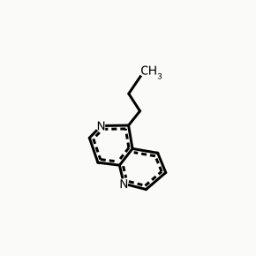 CCCc1nccc2ncccc12